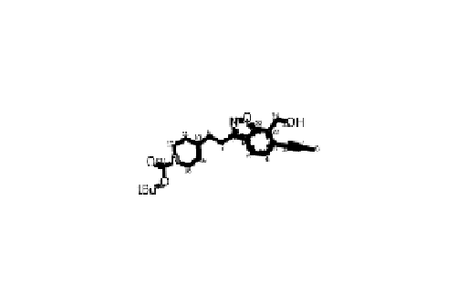 CC#Cc1ccc2c(CCC3CCN(C(=O)OC(C)(C)C)CC3)noc2c1CO